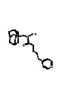 CCCN(CC12CC3CC(CC(C3)C1)C2)C(=O)CCCCc1ccncc1